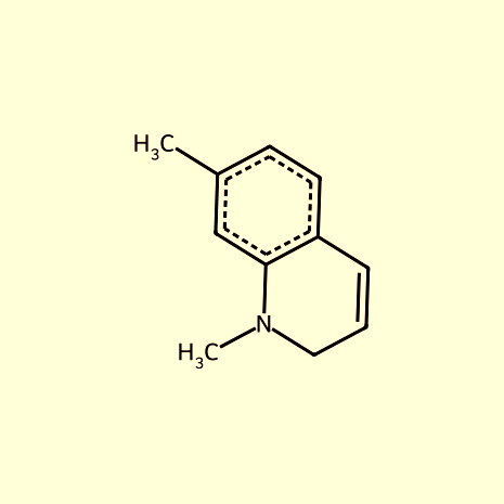 Cc1ccc2c(c1)N(C)CC=C2